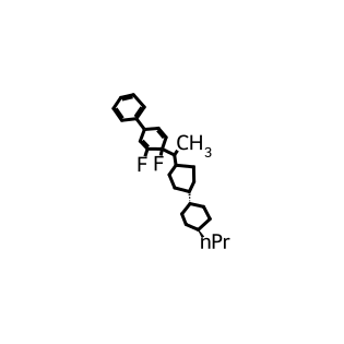 CCC[C@H]1CC[C@H](C2CCC(C(C)C3(F)C=CC(c4ccccc4)C=C3F)CC2)CC1